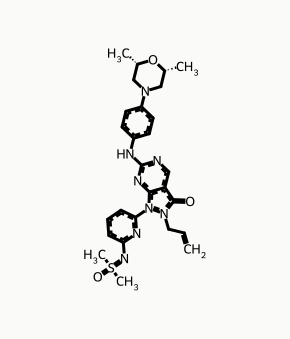 C=CCn1c(=O)c2cnc(Nc3ccc(N4C[C@@H](C)O[C@@H](C)C4)cc3)nc2n1-c1cccc(N=S(C)(C)=O)n1